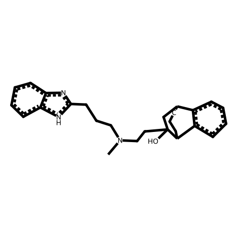 CN(CCCc1nc2ccccc2[nH]1)CCC1(O)CC2CCCC1c1ccccc12